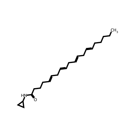 CCCCCC=CCC=CCC=CCC=CCCCC(=O)NC1CC1